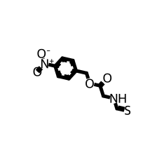 O=C(CNC=S)OCc1ccc([N+](=O)[O-])cc1